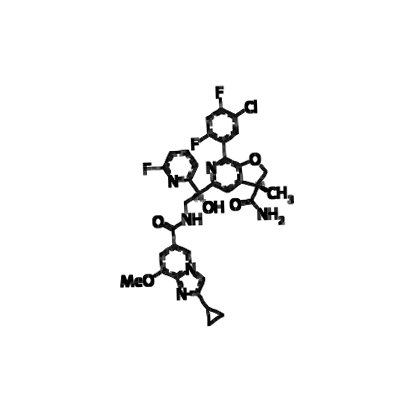 COc1cc(C(=O)NC[C@@](O)(c2cccc(F)n2)c2cc3c(c(-c4cc(Cl)c(F)cc4F)n2)OC[C@]3(C)C(N)=O)cn2cc(C3CC3)nc12